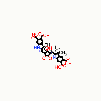 CC1(C)C(/C=C2\C(=O)C(=O)C(/C=C3/Nc4cc(C(=O)O)c(C(=O)O)cc4C3(C)C)=C2O)=Nc2cc(C(=O)O)c(C(=O)O)cc21